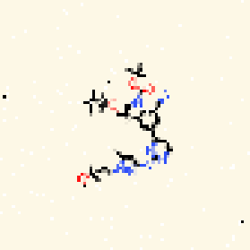 COC(C)(C)CCn1nc(Nc2nccc(-c3cc(C#N)c4c(c3)[C@@](C)(CO[Si](C)(C)C(C)(C)C)CN4C(=O)OC(C)(C)C)n2)cc1C